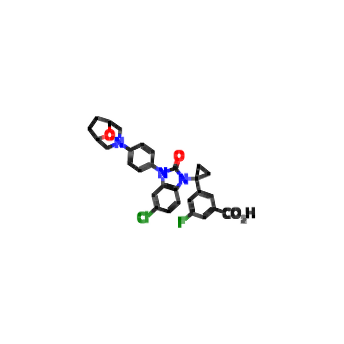 O=C(O)c1cc(F)cc(C2(n3c(=O)n(-c4ccc(N5CC6CCC(C5)O6)cc4)c4cc(Cl)ccc43)CC2)c1